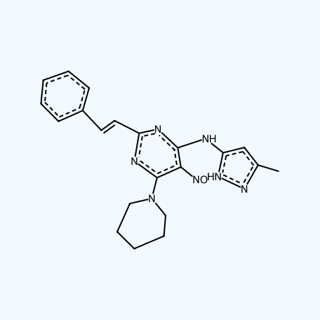 Cc1cc(Nc2nc(/C=C/c3ccccc3)nc(N3CCCCC3)c2N=O)[nH]n1